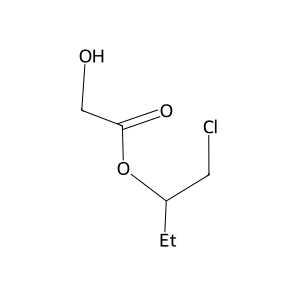 CCC(CCl)OC(=O)CO